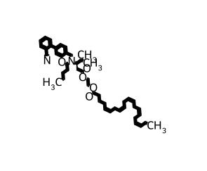 CC/C=C\C/C=C\C/C=C\C/C=C\C/C=C\CCCC(=O)OCCOC(=O)C[C@H](C(C)C)N(Cc1ccc(-c2ccccc2C#N)cc1)C(=O)CCCC